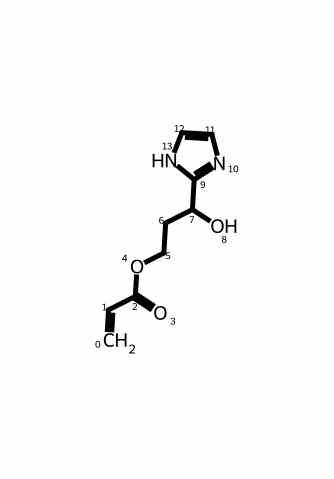 C=CC(=O)OCCC(O)c1ncc[nH]1